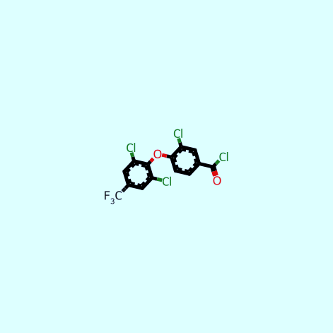 O=C(Cl)c1ccc(Oc2c(Cl)cc(C(F)(F)F)cc2Cl)c(Cl)c1